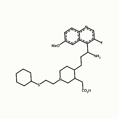 COc1ccc2ncc(F)c(C(N)CCC3CCN(CCSC4CCCCC4)CC3CC(=O)O)c2c1